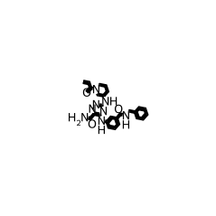 C=CC(=O)N1CCCC(Nc2nnc(C(N)=O)c(Nc3cccc(C(=O)NCc4ccccc4)c3)n2)C1